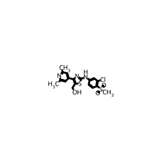 Cc1cc(-c2nc(Nc3ccc(S(C)(=O)=O)c(Cl)c3)sc2CO)cc(C)n1